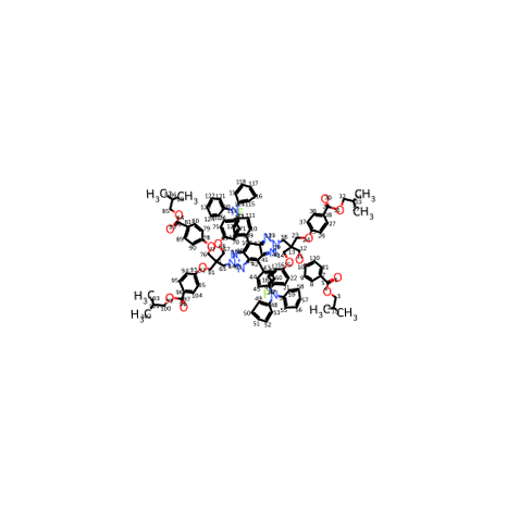 CC(C)COC(=O)c1ccc(OCC(COc2ccc(F)cc2)(COc2ccc(C(=O)OCC(C)C)cc2)Cn2nc3c(-c4ccc(N(c5ccccc5)c5ccccc5)cc4)c4n[n+](CC(COc5ccc(F)cc5)(COc5ccc(C(=O)OCC(C)C)cc5)COc5ccc(C(=O)OCC(C)C)cc5)[n-]c4c(-c4ccc(N(c5ccccc5)c5ccccc5)cc4)c3n2)cc1